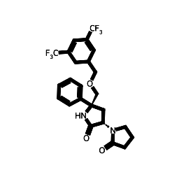 O=C1N[C@](COCC2C=C(C(F)(F)F)C=C(C(F)(F)F)C2)(c2ccccc2)C[C@@H]1N1CCCC1=O